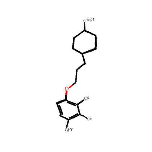 CCCCCCCC1CCC(CCCOc2ccc(CCC)c(C#N)c2C#N)CC1